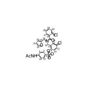 CC(=O)Nc1ccc(S(=O)(=O)Oc2ccc(Cl)cc2CN(Cc2ccco2)C(=O)c2ccccc2Cl)cc1